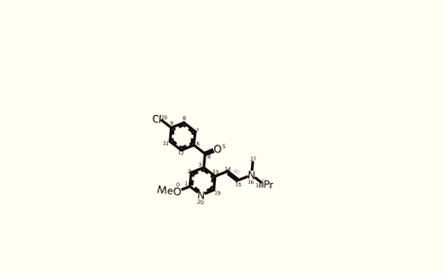 COc1cc(C(=O)c2ccc(Cl)cc2)c(/C=C/N(C)C(C)C)cn1